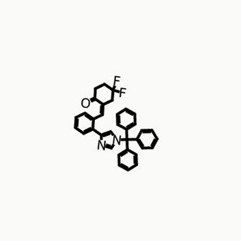 O=C1CCC(F)(F)CC1=Cc1ccccc1-c1cn(C(c2ccccc2)(c2ccccc2)c2ccccc2)cn1